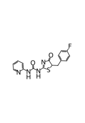 O=C(NC1=NC(=O)C(Cc2ccc(F)cc2)S1)Nc1ccccn1